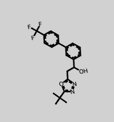 CC(C)(C)c1nnc(CC(O)c2cccc(-c3ccc(C(F)(F)F)cc3)c2)o1